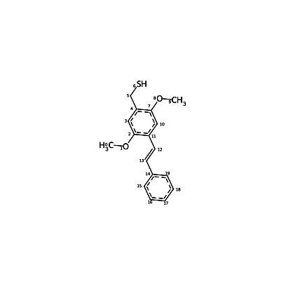 COc1cc(CS)c(OC)cc1C=Cc1ccccc1